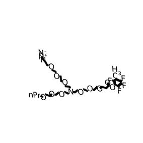 CCCOCCOCCOCCN(CCOCCOCCOCCN=[N+]=[N-])CCOCCOCCOCCC(=O)Oc1c(F)c(C)c(F)c(F)c1F